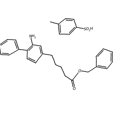 Cc1ccc(S(=O)(=O)O)cc1.Nc1cc(CCCCC(=O)OCc2ccccc2)ccc1-c1ccccc1